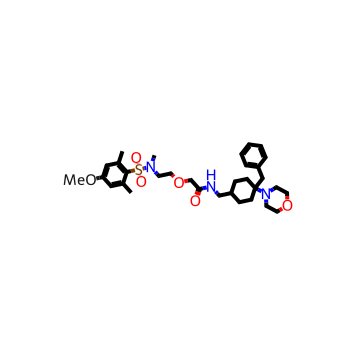 COc1cc(C)c(S(=O)(=O)N(C)CCOCC(=O)NCC2CCC(Cc3ccccc3)(N3CCOCC3)CC2)c(C)c1